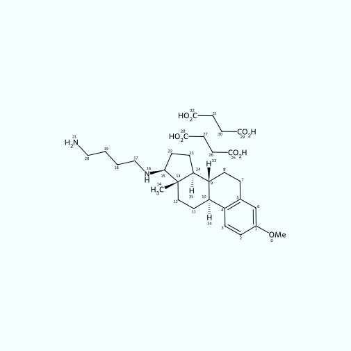 COc1ccc2c(c1)CC[C@@H]1[C@@H]2CC[C@]2(C)[C@@H](NCCCCN)CC[C@@H]12.O=C(O)CCC(=O)O.O=C(O)CCC(=O)O